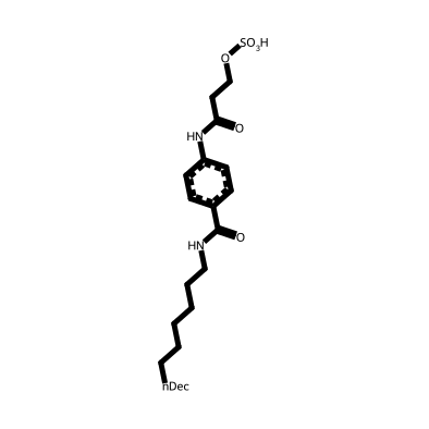 CCCCCCCCCCCCCCCCNC(=O)c1ccc(NC(=O)CCOS(=O)(=O)O)cc1